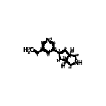 C=Cc1cncc(C2=C[C@H]3CNC[C@H]3C2)c1